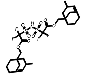 CC1C=C2CCCC(COC(=O)C(F)(F)S(=O)(=O)NS(=O)(=O)C(F)(F)C(=O)OCC34CCCC(=CC(C)C3)C4)(C2)C1